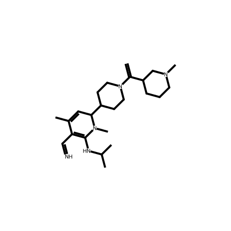 C=C(C1CCCN(C)C1)N1CCC(C2C=C(C)C(C=N)=C(NC(C)C)N2C)CC1